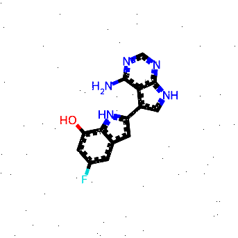 Nc1ncnc2[nH]cc(-c3cc4cc(F)cc(O)c4[nH]3)c12